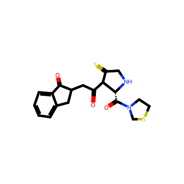 O=C1c2ccccc2CC1CC(=O)C1C(=S)CN[C@@H]1C(=O)N1CCSC1